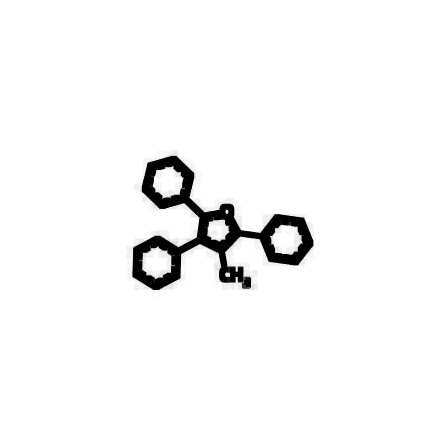 Cc1c(-c2ccccc2)oc(-c2ccccc2)c1-c1ccccc1